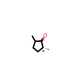 CC1CC[C@@H](C)C1=O